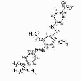 COc1cc(N=Nc2ccc([N+](=O)[O-])cc2)c(C)cc1N=Nc1ccc(C(C)(C)C)cc1